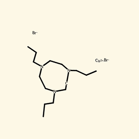 CCCN1CCN(CCC)CCN(CCC)CC1.[Br-].[Br-].[Cu+2]